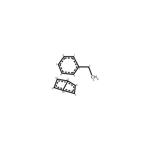 CCc1ccccc1.c1cc2ccc1-2